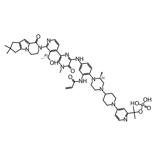 C=CC(=O)Nc1cc(Nc2nc(-c3ccnc(N4CCn5c(cc6c5CC(C)(C)C6)C4=O)c3[C@@H](C)O)cn(C)c2=O)ccc1N1CCN(C2CCN(c3ccnc(C(C)(C)OP(=O)(O)O)c3)CC2)C[C@@H]1C